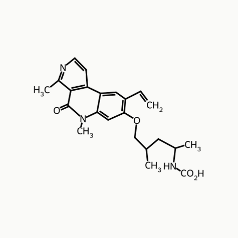 C=Cc1cc2c3ccnc(C)c3c(=O)n(C)c2cc1OCC(C)CC(C)NC(=O)O